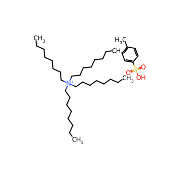 CCCCCCCC[N+](CCCCCCCC)(CCCCCCCC)CCCCCCCC.Cc1ccc(S(=O)(=O)O)cc1